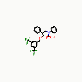 O=C(O)N(CC(COCc1cc(C(F)(F)F)cc(C(F)(F)F)c1)c1ccccc1)c1ccccc1